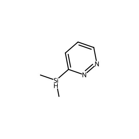 C[SiH](C)c1cccnn1